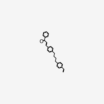 C=Cc1ccc(CCCCc2ccc(/C=C/C(=O)c3ccccc3)cc2)cc1